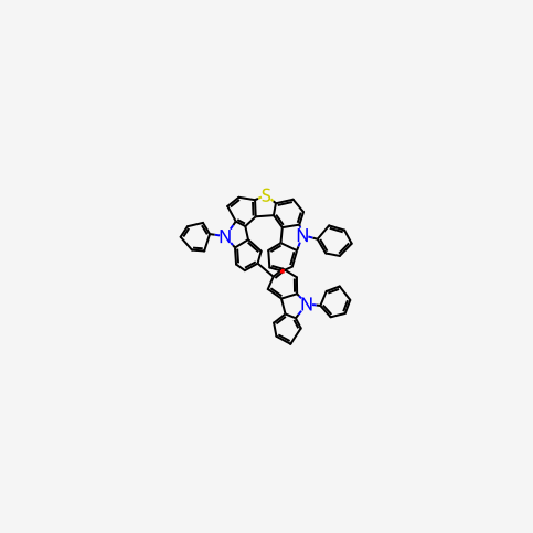 c1ccc(-n2c3ccccc3c3cc(-c4ccc5c(c4)c4c6c(ccc4n5-c4ccccc4)sc4ccc5c(c7ccccc7n5-c5ccccc5)c46)ccc32)cc1